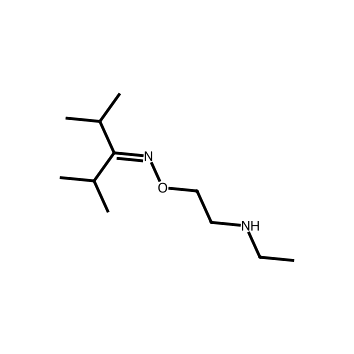 CCNCCON=C(C(C)C)C(C)C